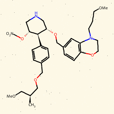 COCCCN1CCOc2ccc(CO[C@H]3CNC[C@@H](O[N+](=O)[O-])[C@@H]3c3ccc(COC[C@@H](C)COC)cc3)cc21